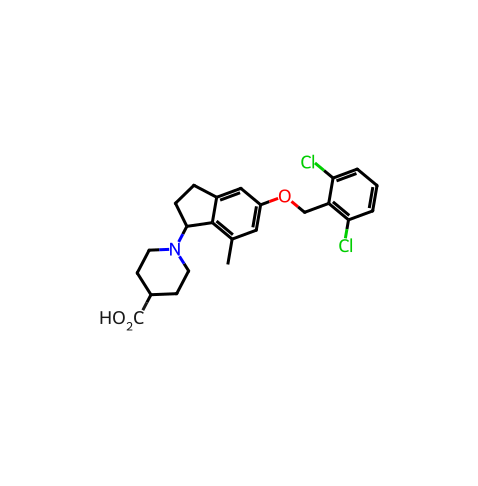 Cc1cc(OCc2c(Cl)cccc2Cl)cc2c1C(N1CCC(C(=O)O)CC1)CC2